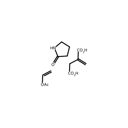 C=C(CC(=O)O)C(=O)O.C=COC(C)=O.O=C1CCCN1